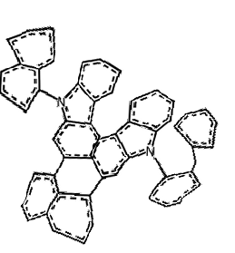 c1ccc(-c2ccccc2-n2c3ccccc3c3ccc(-c4cccc5cccc(-c6ccc7c8ccccc8n(-c8cccc9ccccc89)c7c6)c45)cc32)cc1